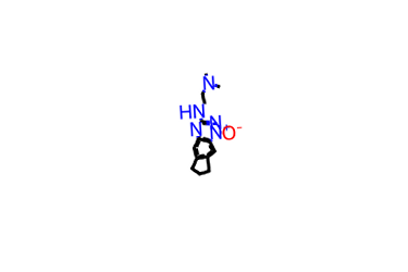 CN(C)CCNc1nc2cc3c(cc2[n+]([O-])n1)CCC3